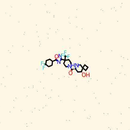 O=C([C@@H]1C[C@@H](O)C2(CCC2)CN1)N1CCC(c2noc(C3CCC(F)(F)CC3)n2)(C(F)(F)F)CC1